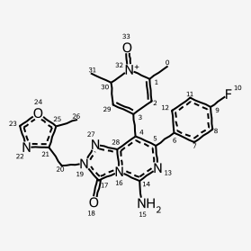 CC1=CC(c2c(-c3ccc(F)cc3)nc(N)n3c(=O)n(Cc4ncoc4C)nc23)=CC(C)[N+]1=O